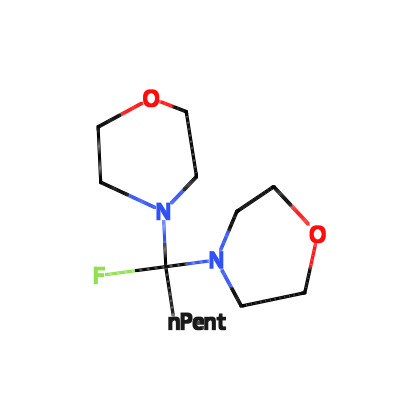 CCCCCC(F)(N1CCOCC1)N1CCOCC1